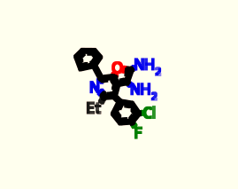 CCc1nc(-c2ccccc2)c2oc(N)c(N)c2c1-c1ccc(F)c(Cl)c1